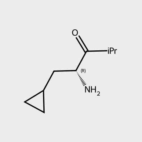 CC(C)C(=O)[C@H](N)CC1CC1